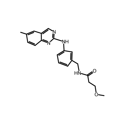 COCCC(=O)NCc1cccc(Nc2ncc3cc(C)ccc3n2)c1